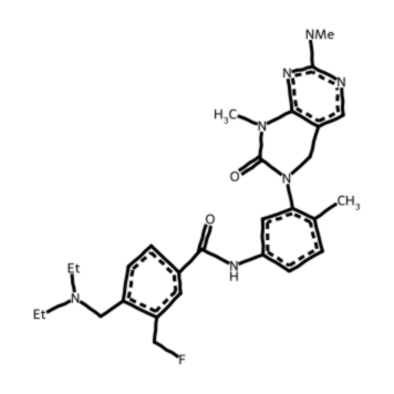 CCN(CC)Cc1ccc(C(=O)Nc2ccc(C)c(N3Cc4cnc(NC)nc4N(C)C3=O)c2)cc1CF